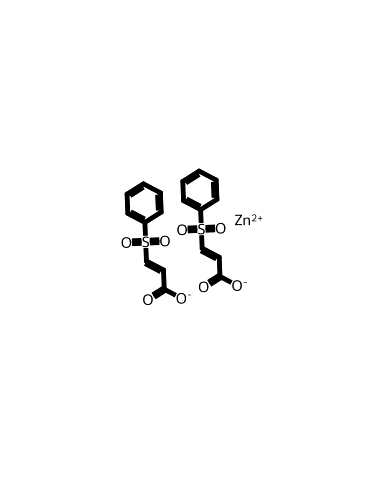 O=C([O-])/C=C/S(=O)(=O)c1ccccc1.O=C([O-])/C=C/S(=O)(=O)c1ccccc1.[Zn+2]